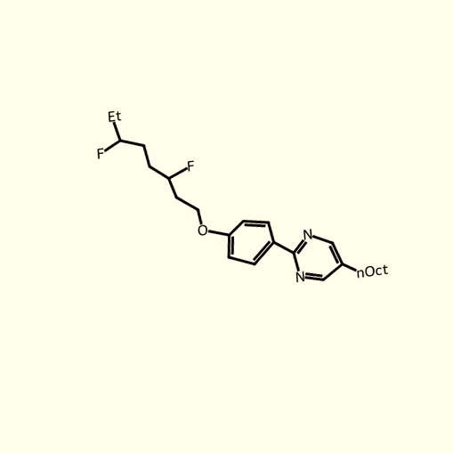 CCCCCCCCc1cnc(-c2ccc(OCCC(F)CCC(F)CC)cc2)nc1